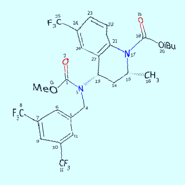 COC(=O)N(Cc1cc(C(F)(F)F)cc(C(F)(F)F)c1)[C@H]1C[C@@H](C)N(C(=O)OCC(C)C)c2ccc(C(F)(F)F)cc21